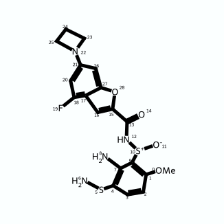 COc1ccc(SN)c(N)c1[S+]([O-])NC(=O)c1cc2c(F)cc(N3CCC3)cc2o1